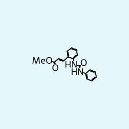 COC(=O)C=Cc1ccccc1NC(=O)Nc1ccccc1